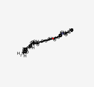 C/C(=N\NC(=O)CCSSc1ccccn1)c1ccc(OCCCC(=O)NCCCOCCOCCOCCCNC(=O)CC[C@@H](NC(=O)c2ccc(NCc3cnc4nc(N)[nH]c(=O)c4n3)cc2)C(=O)O)cc1